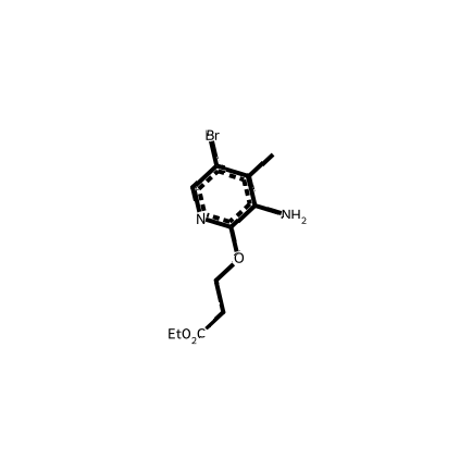 CCOC(=O)CCOc1ncc(Br)c(C)c1N